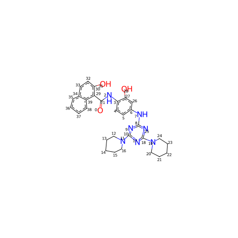 O=C(Nc1ccc(Nc2nc(N3CCCCC3)nc(N3CCCCC3)n2)cc1O)c1c(O)ccc2ccccc12